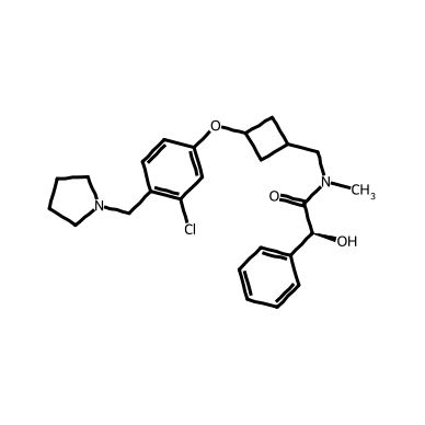 CN(CC1CC(Oc2ccc(CN3CCCC3)c(Cl)c2)C1)C(=O)[C@@H](O)c1ccccc1